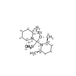 CCOC([SiH3])(N1[C@H](C)CCC[C@@H]1C)N1[C@H](C)CCC[C@@H]1C